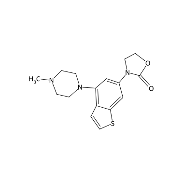 CN1CCN(c2cc(N3CCOC3=O)cc3sccc23)CC1